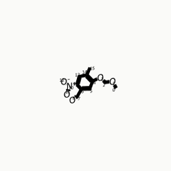 COCOc1cc(C=O)c([N+](=O)[O-])cc1C